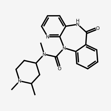 CC1CC(N(C)C(=O)N2c3ccccc3C(=O)Nc3cccnc32)CCN1C